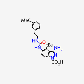 COc1cccc(CCNC(=O)Nc2ccc3c(c(N)nn3C(=O)O)c2C(C)(C)C)c1